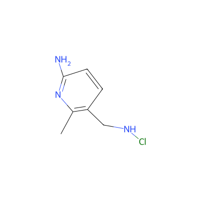 Cc1nc(N)ccc1CNCl